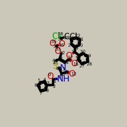 O=C(Cc1ccccc1)NC1C(=O)N2C(C(=O)OC(c3ccccc3)c3ccccc3)=C(COC(=O)OC(Cl)C(Cl)(Cl)Cl)CSC12